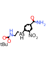 CC(C)(C)OC(=O)NCC[AsH]c1ccc(C(N)=O)cc1[N+](=O)[O-]